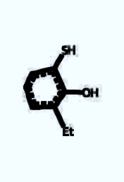 CCc1cccc(S)c1O